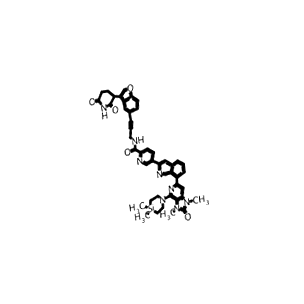 Cn1c(=O)n(C)c2c(N3CC[Si](C)(C)CC3)nc(-c3cccc4cc(-c5ccc(C(=O)NCC#Cc6ccc7occ(C8CCC(=O)NC8=O)c7c6)nc5)ncc34)cc21